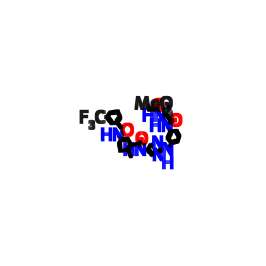 C=CC(=O)N[C@@H](COC)C(=O)Nc1cccc(Nc2ncc(NC(=O)c3cc(NC(=O)c4cccc(C(F)(F)F)c4)ccc3C)cn2)c1